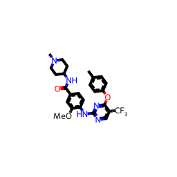 COc1cc(C(=O)NC2CCN(C)CC2)ccc1Nc1ncc(C(F)(F)F)c(Oc2ccc(C)cc2)n1